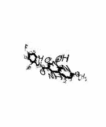 COc1ccc2c(N)c(C(=O)NCc3ccc(F)cc3F)c(=O)n(O)c2n1